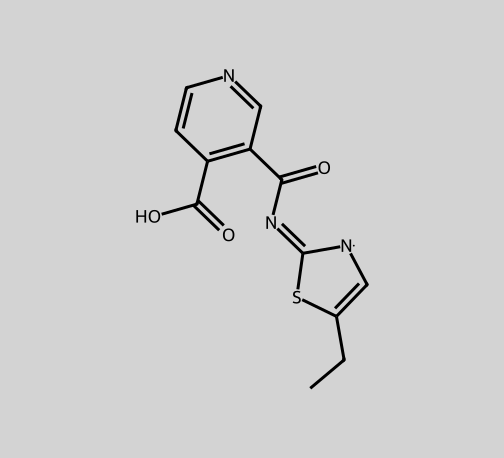 CCC1=C[N]C(=NC(=O)c2cnccc2C(=O)O)S1